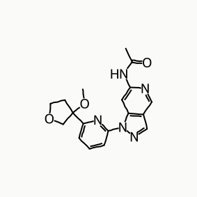 COC1(c2cccc(-n3ncc4cnc(NC(C)=O)cc43)n2)CCOC1